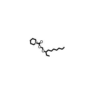 CCCCCCCC(CC)OCOC(=O)N1CCCCC1